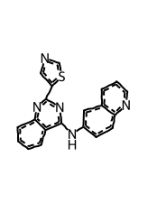 c1cnc2ccc(Nc3nc(-c4cncs4)nc4ccccc34)cc2c1